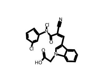 N#CC(=Cc1cn(CC(=O)O)c2ccccc12)C(=O)N(Cl)c1cccc(Cl)c1